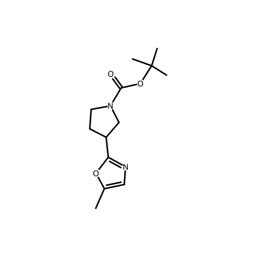 Cc1cnc(C2CCN(C(=O)OC(C)(C)C)C2)o1